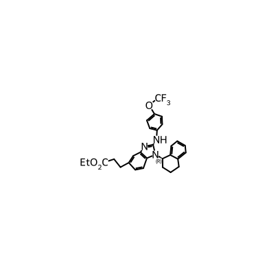 CCOC(=O)CCc1ccc2c(c1)nc(Nc1ccc(OC(F)(F)F)cc1)n2[C@@H]1CCCc2ccccc21